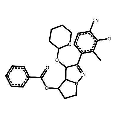 Cc1c(C2=NN3CCC(OC(=O)c4ccccc4)C3C2OC2CCCCO2)ccc(C#N)c1Cl